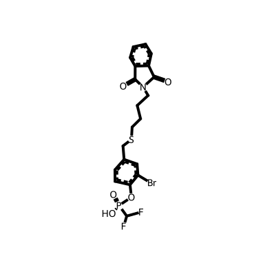 O=C1c2ccccc2C(=O)N1CCCCSCc1ccc(OP(=O)(O)C(F)F)c(Br)c1